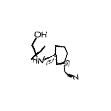 CC(C)(CO)N[C@H]1CCC[C@@H](C#N)C1